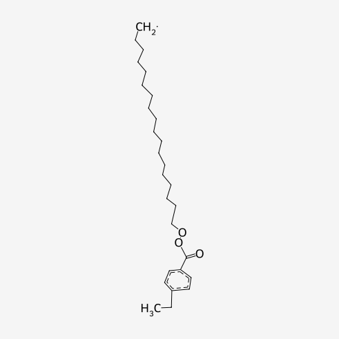 [CH2]CCCCCCCCCCCCCCCCCOOC(=O)c1ccc(CC)cc1